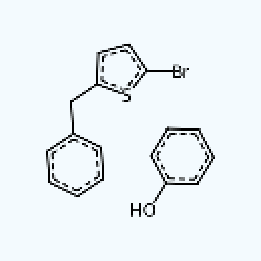 Brc1ccc(Cc2ccccc2)s1.Oc1ccccc1